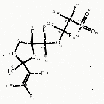 CC1(C(F)=C(F)F)OCC(F)(C(F)(F)OC(F)(F)C(F)(F)S(=O)(=O)F)O1